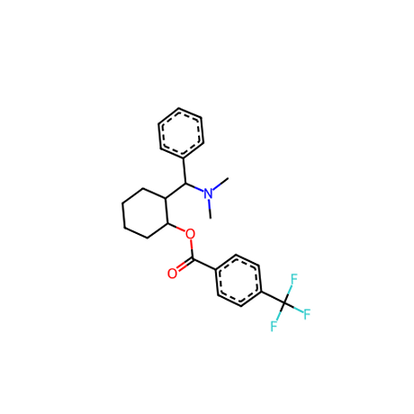 CN(C)C(c1ccccc1)C1CCCCC1OC(=O)c1ccc(C(F)(F)F)cc1